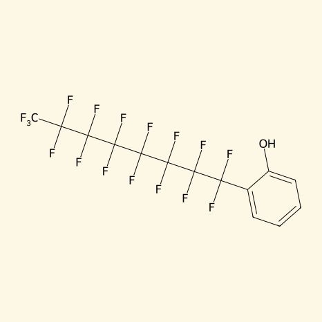 Oc1ccccc1C(F)(F)C(F)(F)C(F)(F)C(F)(F)C(F)(F)C(F)(F)C(F)(F)C(F)(F)F